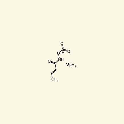 CC=CC(=O)NO[SH](=O)=O.[MgH2]